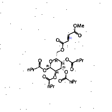 CCCC(=O)O[C@H]1O[C@H](COC(=O)/C=C/C(=O)OC)[C@H](OC(=O)CCC)[C@H](OC(=O)CCC)[C@H]1OC(=O)CCC